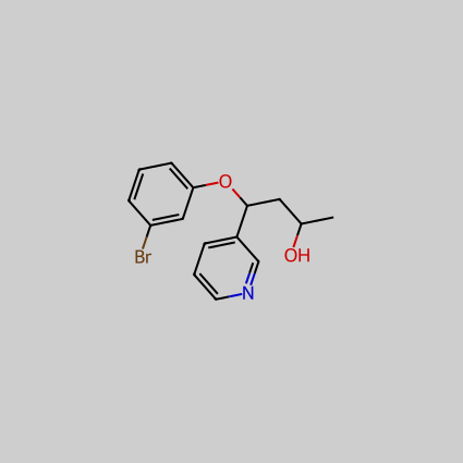 CC(O)CC(Oc1cccc(Br)c1)c1cccnc1